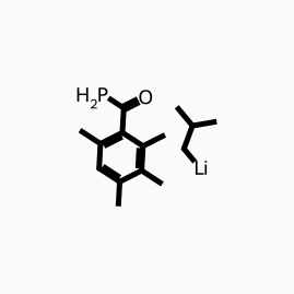 Cc1cc(C)c(C(=O)P)c(C)c1C.[Li][CH2]C(C)C